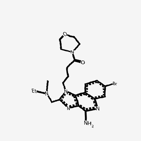 CCN(C)Cc1nc2c(N)nc3cc(Br)ccc3c2n1CCCC(=O)N1CCOCC1